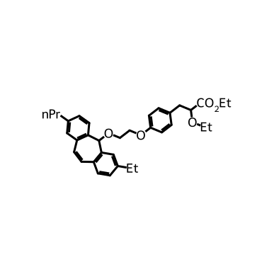 CCCc1ccc2c(c1)C=Cc1ccc(CC)cc1C2OCCOc1ccc(CC(OCC)C(=O)OCC)cc1